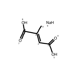 C/C(=C\C(=O)O)C(=O)O.[NaH]